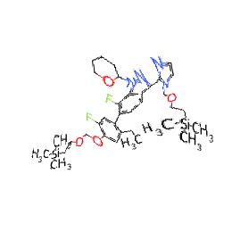 CCc1cc(OCOCC[Si](C)(C)C)c(F)cc1-c1ccc2c(-c3nccn3COCC[Si](C)(C)C)nn(C3CCCCO3)c2c1F